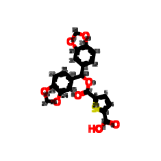 O=C(O)c1ccc(C(=O)OC(c2ccc3c(c2)OCO3)c2ccc3c(c2)OCO3)s1